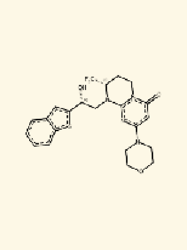 O=c1cc(N2CCOCC2)nc2n1CC[C@@H](C(F)(F)F)N2C[C@@H](O)c1cc2ccccc2s1